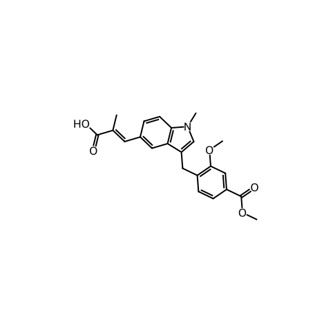 COC(=O)c1ccc(Cc2cn(C)c3ccc(/C=C(\C)C(=O)O)cc23)c(OC)c1